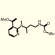 C=C(OC)c1cccnc1N(C)C(C)CCNC(=O)OC(C)(C)C